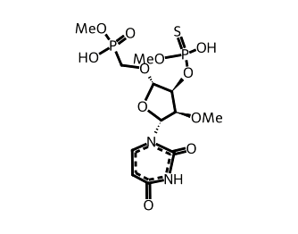 CO[C@@H]1[C@H](OP(O)(=S)OC)[C@@H](OCP(=O)(O)OC)O[C@H]1n1ccc(=O)[nH]c1=O